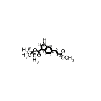 COC(=O)C=Cc1ccc2c(C(=O)OC(C)(C)C)c[nH]c2c1